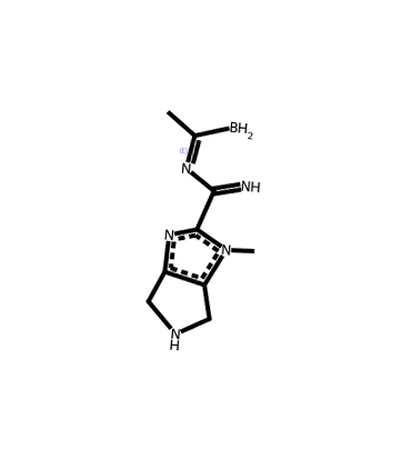 B/C(C)=N\C(=N)c1nc2c(n1C)CNC2